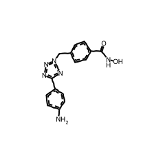 Nc1ccc(-c2nnn(Cc3ccc(C(=O)NO)cc3)n2)cc1